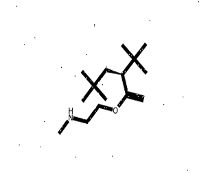 C=C(OCCNC)[C@@H](CC(C)(C)C)C(C)(C)C